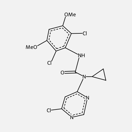 COc1cc(OC)c(Cl)c(NC(=O)N(c2cc(Cl)ncn2)C2CC2)c1Cl